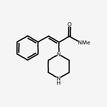 CNC(=O)C(=Cc1ccccc1)N1CCNCC1